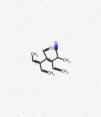 C=CC(=C/C)/C(C=C)=C(\C=C)C(C)C#N